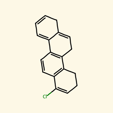 ClC1=CCCc2c1ccc1c2CC=C2CC=CC=C21